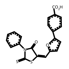 O=C(O)c1ccc(-c2ccc(C=C3SC(=S)N(c4ccccc4)C3=O)o2)cc1